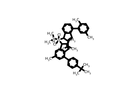 CC1=Cc2c(-c3ccc(C(C)(C)C)cc3)cc(C)cc2[CH]1[Zr]([Cl])([Cl])([CH]1C(C(C)C)=Cc2c(-c3cc(C)ccc3C)cccc21)[SiH](C)C